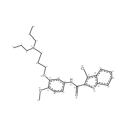 CCCN(CCC)CCCOc1cc(NC(=O)c2sc3ccccc3c2Cl)ccc1OC